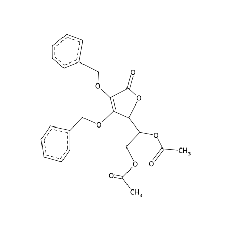 CC(=O)OCC(OC(C)=O)C1OC(=O)C(OCc2ccccc2)=C1OCc1ccccc1